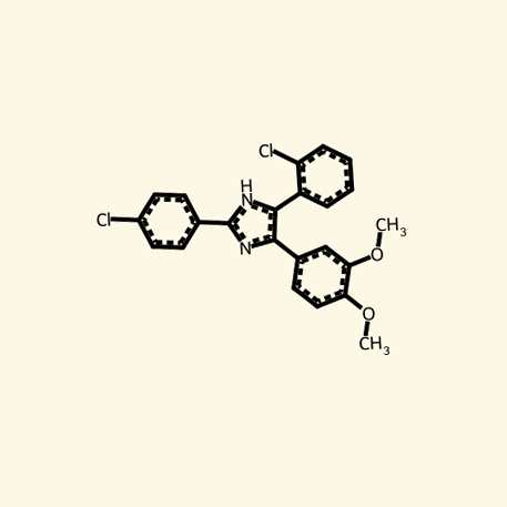 COc1ccc(-c2nc(-c3ccc(Cl)cc3)[nH]c2-c2ccccc2Cl)cc1OC